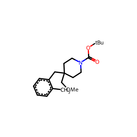 COCC1(Cc2ccccc2C)CCN(C(=O)OC(C)(C)C)CC1